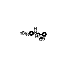 CCCCOc1ccc(NC(=O)C=C2NS(=O)(=O)c3ccccc32)cc1